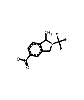 CC1c2ccc([N+](=O)[O-])cc2CN1C(F)(F)F